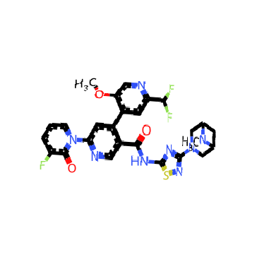 COc1cnc(C(F)F)cc1-c1cc(-n2cccc(F)c2=O)ncc1C(=O)Nc1nc(N2CC3CC(C2)N3C)ns1